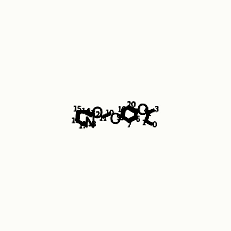 CCC(C)Oc1ccc(OCCOc2ccccn2)cc1